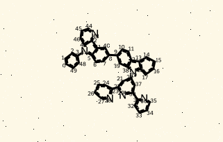 c1ccc(-n2c3ccc(-c4ccc5c6ccccc6n(-c6cc(-c7ccccn7)nc(-c7ccccn7)c6)c5c4)cc3c3ncccc32)cc1